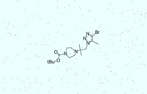 Cc1c(Br)nnn1CC(C)(C)N1CCN(C(=O)OC(C)(C)C)CC1